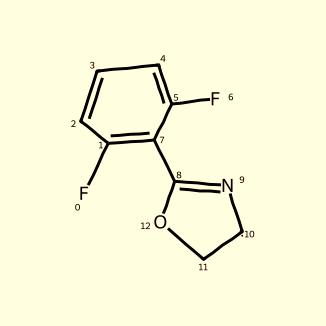 Fc1cccc(F)c1C1=N[CH]CO1